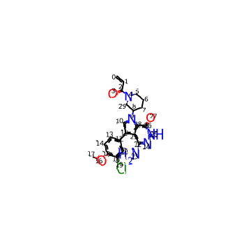 C=CC(=O)N1CCCC(n2cc(-c3ccc(OC)c(Cl)c3)c3c(N)n[nH]c(=O)c32)C1